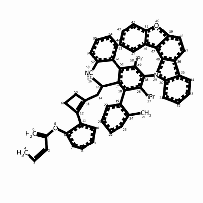 C=C(/C=C\C)Oc1ccccc1C1=C(CC(CC)c2c(-c3ccccc3C)c(C(C)C)c(-n3c4ccccc4c4ccc5oc6ccccc6c5c43)c(C(C)C)c2-c2ccccc2C#N)CC1